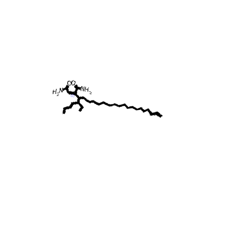 CCCCCCCCCCCCCCCCCCC(/C(=C/C(N)=O)C(N)=O)C(CC)CCCC